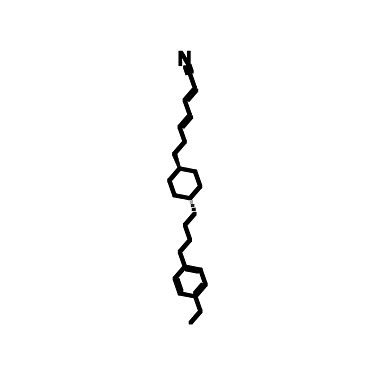 CCc1ccc(CCCC[C@H]2CC[C@H](CC/C=C/C=C/C#N)CC2)cc1